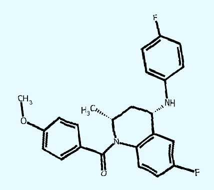 COc1ccc(C(=O)N2c3ccc(F)cc3[C@@H](Nc3ccc(F)cc3)C[C@H]2C)cc1